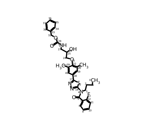 CCCCN(C(=O)c1ccccc1F)c1nnc(-c2cc(C)c(OCC(O)CNC(=O)OCc3ccccc3)c(C)c2)s1